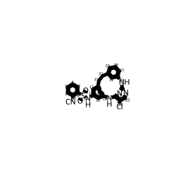 N#Cc1ccccc1S(=O)(=O)Nc1cc2cc(c1)Nc1nc(ncc1Cl)Nc1cccc(c1)CC2